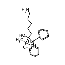 CC(C)(C)C(O)(CCCCCN)[SiH](c1ccccc1)c1ccccc1